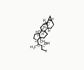 C[C@H]([C@H](O)CF)[C@H]1CC[C@H]2[C@@H]3CC[C@@H]4C5C[C@@]5(O)CC[C@@H]4[C@H]3CC[C@]12C